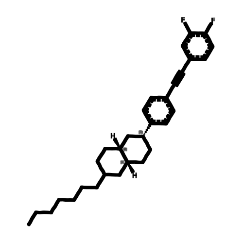 CCCCCCCC1CC[C@@H]2C[C@H](c3ccc(C#Cc4ccc(F)c(F)c4)cc3)CC[C@@H]2C1